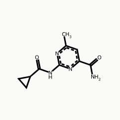 Cc1cc(C(N)=O)nc(NC(=O)C2CC2)n1